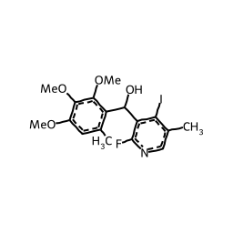 COc1cc(C)c(C(O)c2c(F)ncc(C)c2I)c(OC)c1OC